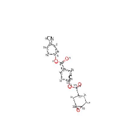 N#Cc1ccc(OC(=O)c2ccc(OC(=O)C3CCC4OC4C3)cc2)cc1